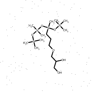 C[Si](C)(C)O[Si](C)(C)O[Si](C)(CCCOCC(O)CO)O[Si](C)(C)C